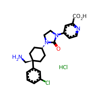 Cl.NC[C@]1(c2cccc(Cl)c2)CC[C@@H](N2CCN(c3ccnc(C(=O)O)c3)C2=O)CC1